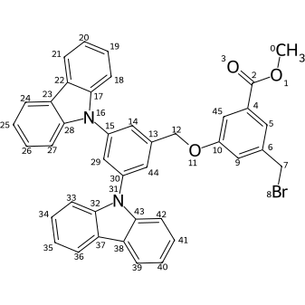 COC(=O)c1cc(CBr)cc(OCc2cc(-n3c4ccccc4c4ccccc43)cc(-n3c4ccccc4c4ccccc43)c2)c1